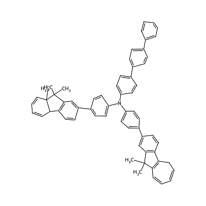 CC1(C)C2=C(CC=CC=C2)c2ccc(-c3ccc(N(c4ccc(-c5ccc(-c6ccccc6)cc5)cc4)c4ccc(-c5ccc6c(c5)C(C)(C)C5(C)C=CC=CC65)cc4)cc3)cc21